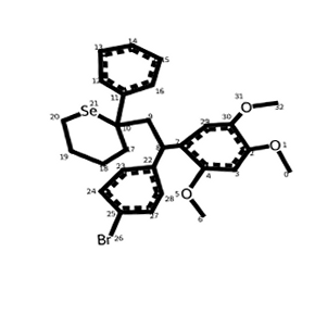 COc1cc(OC)c(C(CC2(c3ccccc3)CCCC[Se]2)c2ccc(Br)cc2)cc1OC